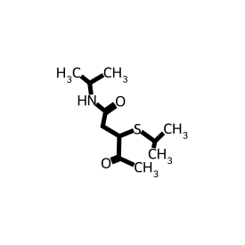 CC(=O)C(CC(=O)NC(C)C)SC(C)C